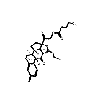 CCCCC(=O)OCC(=O)[C@@]1(OC(=O)OCC)CC[C@H]2[C@@H]3CCC4=CC(=O)C=C[C@]4(C)[C@H]3C(=O)C[C@@]21C